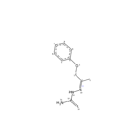 C/C(COc1ccccc1)=N/NC(N)=S